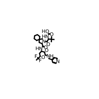 CC(F)(F)CCC(NC(=O)C1CC2(CCCCC2)CN1C(=O)C(NC(=O)O)C(C)(C)C)C(=O)C(=O)NCc1ccncc1